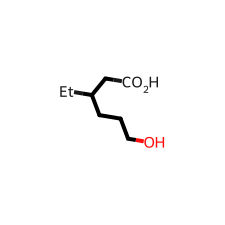 CCC(CCCO)CC(=O)O